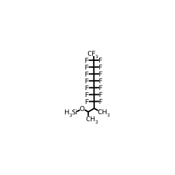 CC(O[SiH3])C(C)C(F)(F)C(F)(F)C(F)(F)C(F)(F)C(F)(F)C(F)(F)C(F)(F)C(F)(F)F